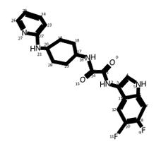 O=C(Nc1c[nH]c2cc(F)c(F)cc12)C(=O)NC1CCC(Nc2ccccn2)CC1